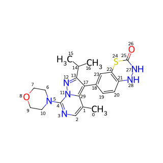 Cc1cnc(N2CCOCC2)n2nc(C(C)C)c(-c3ccc4c(c3)SC(=O)NN4)c12